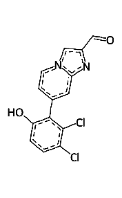 O=Cc1cn2ccc(-c3c(O)ccc(Cl)c3Cl)cc2n1